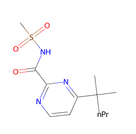 CCCC(C)(C)c1ccnc(C(=O)NS(C)(=O)=O)n1